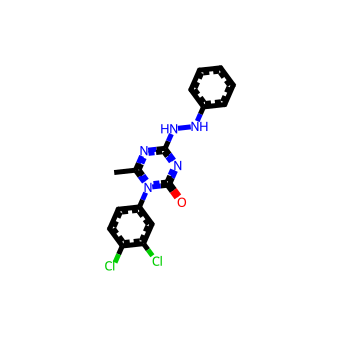 Cc1nc(NNc2ccccc2)nc(=O)n1-c1ccc(Cl)c(Cl)c1